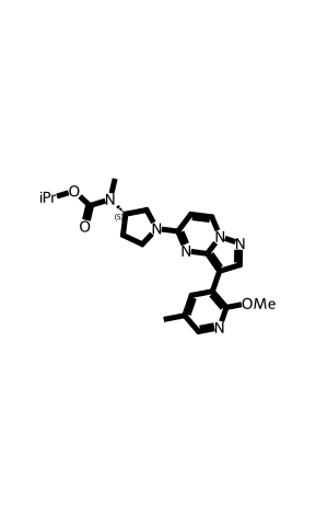 COc1ncc(C)cc1-c1cnn2ccc(N3CC[C@H](N(C)C(=O)OC(C)C)C3)nc12